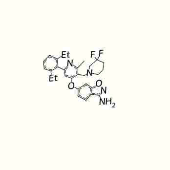 CCc1cccc(CC)c1-c1cc(Oc2ccc3c(N)noc3c2)c(CN2CCCC(F)(F)C2)c(C)n1